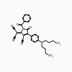 CCCCN(CCCC)c1ccc(C2=C(C#N)C(=C(C#N)C#N)N(C(=O)c3ccccc3)C2=O)cc1